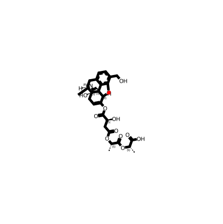 C[C@H](OC(=O)[C@H](C)OC(=O)C[C@H](O)C(=O)OC1=CC[C@@]2(O)[C@H]3Cc4ccc(CO)c5c4[C@@]2(CCN3C)[C@H]1O5)C(=O)O